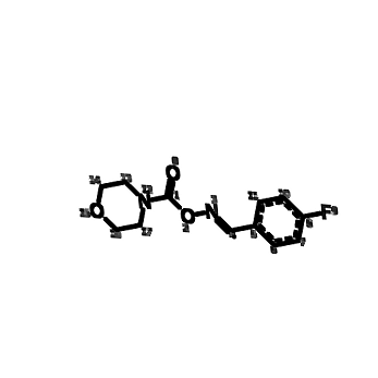 O=C(ON=Cc1ccc(F)cc1)N1CCOCC1